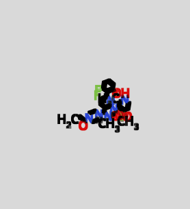 C=CC(=O)N1CCN(c2nc(=O)n(-c3c(S(C)(=O)=O)ccnc3C)c3nc(-c4c(O)cccc4F)c(F)cc23)[C@@H](C)C1